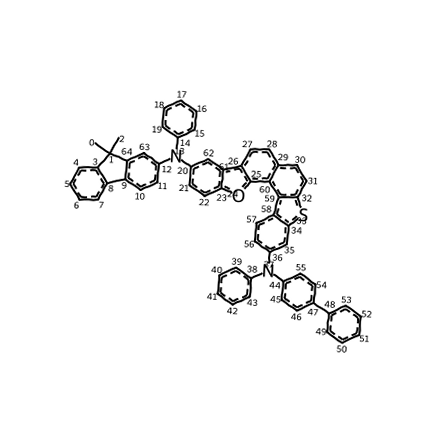 CC1(C)c2ccccc2-c2ccc(N(c3ccccc3)c3ccc4oc5c(ccc6ccc7sc8cc(N(c9ccccc9)c9ccc(-c%10ccccc%10)cc9)ccc8c7c65)c4c3)cc21